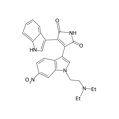 CCN(CC)CCn1cc(C2=C(c3c[nH]c4ccccc34)C(=O)NC2=O)c2ccc([N+](=O)[O-])cc21